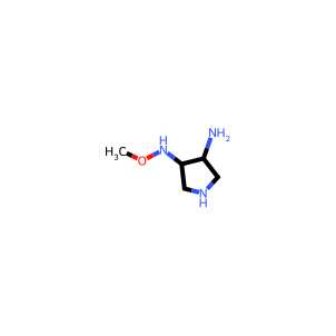 CONC1CNCC1N